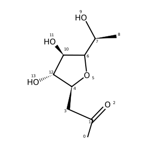 CC(=O)C[C@@H]1OC([C@H](C)O)[C@H](O)[C@H]1O